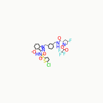 COc1cccc2c1c(NS(=O)(=O)c1ccc(Cl)s1)nn2Cc1cccc(CNC(=O)[C@@H]2C[C@@H](F)CN2OC(=O)C(F)(F)F)c1